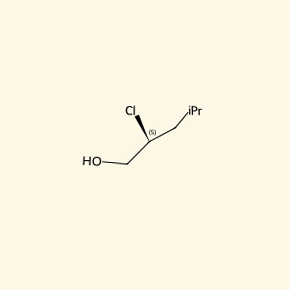 CC(C)C[C@H](Cl)CO